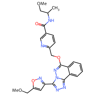 COCc1cc(-c2nnc3c4ccccc4c(OCc4ccc(C(=O)NC(C)COC)cn4)nn23)no1